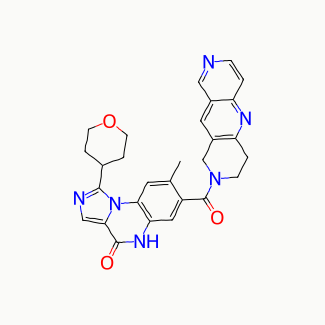 Cc1cc2c(cc1C(=O)N1CCc3nc4ccncc4cc3C1)[nH]c(=O)c1cnc(C3CCOCC3)n12